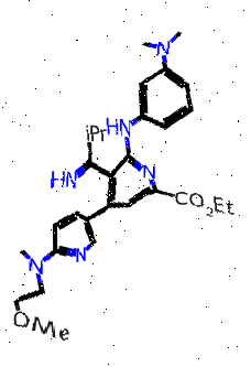 CCOC(=O)c1cc(-c2ccc(N(C)CCOC)nc2)c(C(=N)C(C)C)c(Nc2cccc(N(C)C)c2)n1